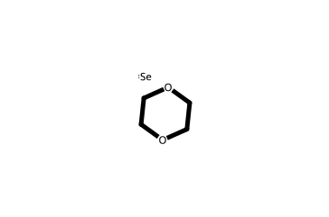 C1COCCO1.[Se]